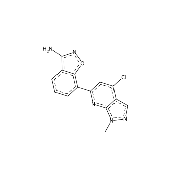 Cn1ncc2c(Cl)cc(-c3cccc4c(N)noc34)nc21